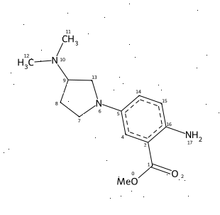 COC(=O)c1cc(N2CCC(N(C)C)C2)ccc1N